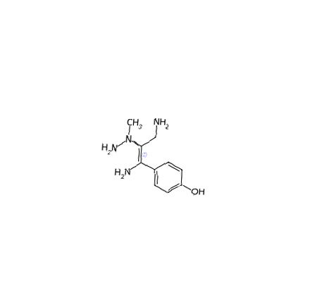 CN(N)/C(CN)=C(\N)c1ccc(O)cc1